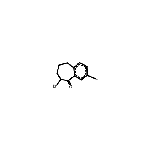 O=C1c2cc(F)ccc2CCCC1Br